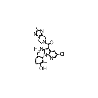 Cc1nc2n(n1)CCN(C(=O)c1c(N)n(-c3c(C)ccc(O)c3C)c3ncc(Cl)cc13)C2